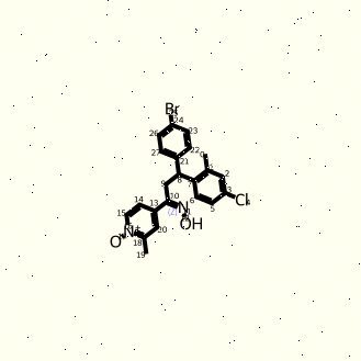 Cc1cc(Cl)ccc1C(C/C(=N/O)c1cc[n+]([O-])c(C)c1)c1ccc(Br)cc1